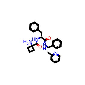 NC1(C(=O)N[C@@H](Cc2ccccc2)C(=O)N[C@@H](Cc2ccccn2)c2ccccc2)CCC1